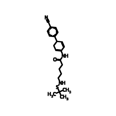 CC(C)(C)SNCCCCC(=O)NC1=CCC(c2ccc(C#N)cc2)C=C1